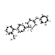 CCOc1ncccc1-c1ncc(C2(C#N)CCN(Cc3ccccc3)CC2)cn1